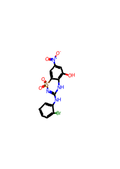 O=[N+]([O-])c1cc(O)c2c(c1)S(=O)(=O)N=C(Nc1ccccc1Br)N2